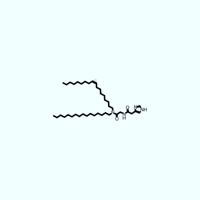 CCCCCCCC/C=C\CCCCCCCCN(CCCCCCCCCCCCCCCC)C(=O)CNC(=O)Cc1c[nH]cn1